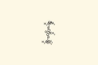 Cn1c2ccc(OCCC[N+](C)(C)C)cc2c(=O)c2ccc(OCCC[N+](C)(C)C)cc21